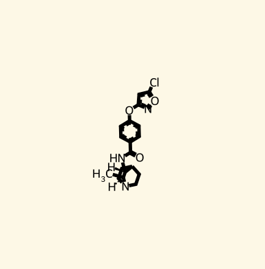 C[C@H]1[C@H](NC(=O)c2ccc(Oc3cc(Cl)on3)cc2)C2CCN1CC2